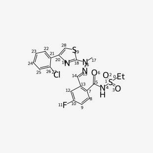 CCS(=O)(=O)NC(=O)c1ccc(F)cc1/C=N/N(C)c1nc(-c2ccccc2Cl)cs1